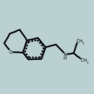 CC(C)NCc1ccc2c(c1)CCCO2